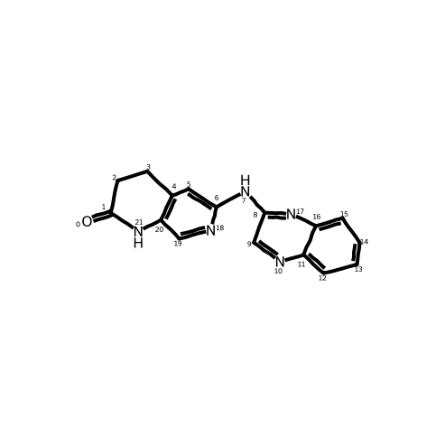 O=C1CCc2cc(Nc3cnc4ccccc4n3)ncc2N1